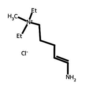 CC[N+](C)(CC)CCCC=CN.[Cl-]